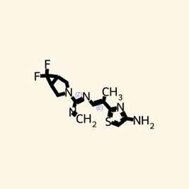 C=N/C(=N\C=C(/C)c1nc(N)cs1)N1CC2C(C1)C2(F)F